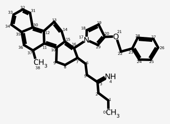 CCCC(=N)CCC1CCc2c3c(ccc2=C1n1ccc(OCc2ccccc2)c1)=c1ccccc1=CC3C